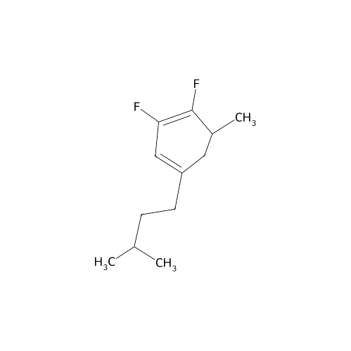 CC(C)CCC1=CC(F)=C(F)C(C)C1